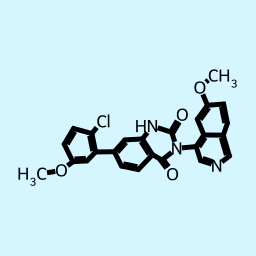 COc1ccc(Cl)c(-c2ccc3c(=O)n(-c4cncc5ccc(OC)cc45)c(=O)[nH]c3c2)c1